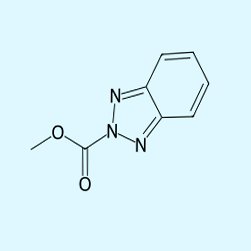 COC(=O)n1nc2ccccc2n1